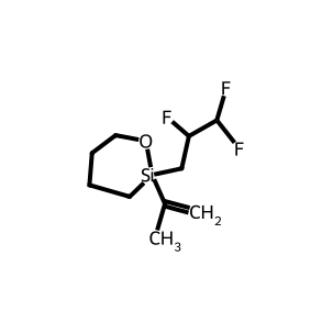 C=C(C)[Si]1(CC(F)C(F)F)CCCCO1